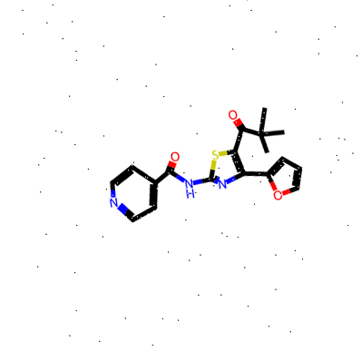 CC(C)(C)C(=O)c1sc(NC(=O)c2ccncc2)nc1-c1ccco1